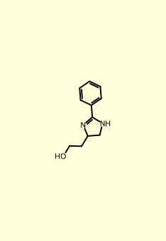 OCCC1CNC(c2ccccc2)=N1